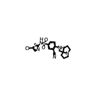 N#Cc1cc(S(=O)(=O)Nc2ncc(Cl)s2)ccc1NCC12CCCN1CCC2